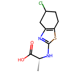 C[C@@H](Nc1nc2c(s1)CCC(Cl)C2)C(=O)O